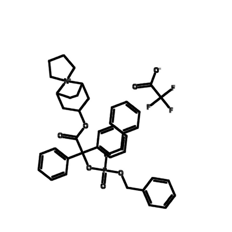 O=C(OC1CC2CCC(C1)[N+]21CCCC1)C(OP(=O)(OCc1ccccc1)OCc1ccccc1)(c1ccccc1)c1ccccc1.O=C([O-])C(F)(F)F